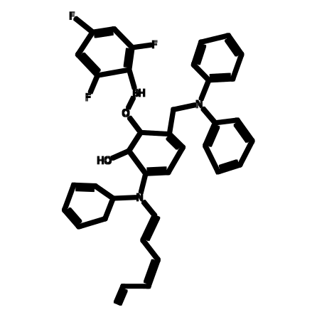 C=C/C=C\C=C\N(C1=CC=C(CN(c2ccccc2)c2ccccc2)C(OBc2c(F)cc(F)cc2F)C1O)C1C=CC=CC1